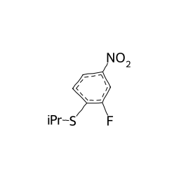 CC(C)Sc1ccc([N+](=O)[O-])cc1F